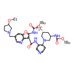 CCOC1CCN(Cc2cnc3c(C(=O)Nc4cnccc4N4CC(NC(=O)OC(C)(C)C)C[C@@H](C(F)(F)F)C4)c(NC(=O)OC(C)(C)C)oc3c2)C1